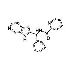 O=C(NC(c1ccccc1)c1cc2ccncc2[nH]1)c1ccccn1